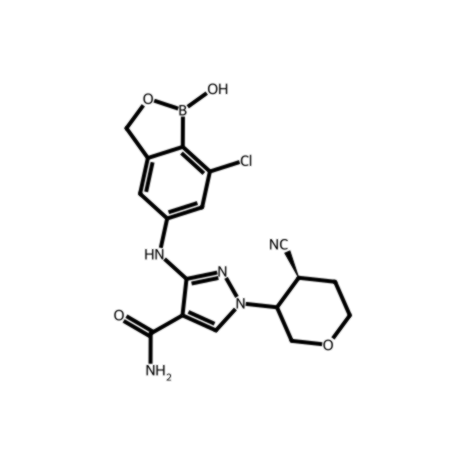 N#C[C@H]1CCOCC1n1cc(C(N)=O)c(Nc2cc(Cl)c3c(c2)COB3O)n1